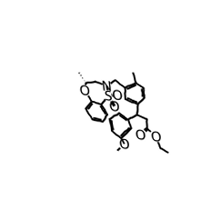 CCOC(=O)CC(c1cccc(OC)c1)c1ccc(C)c(CN2C[C@@H](C)Oc3ccccc3S2(=O)=O)c1